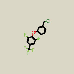 Fc1cc(C(F)(F)F)cc(F)c1Oc1cccc(CCl)c1